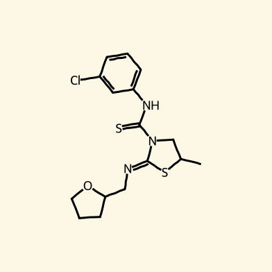 CC1CN(C(=S)Nc2cccc(Cl)c2)/C(=N/CC2CCCO2)S1